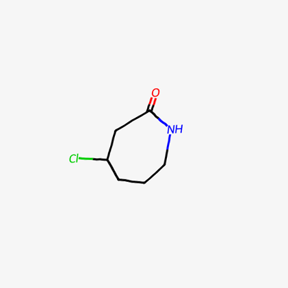 O=C1CC(Cl)CCCN1